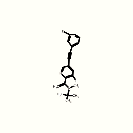 C=C(c1ncc(C#Cc2cccc(F)c2)cc1F)N(C)C(C)(C)C